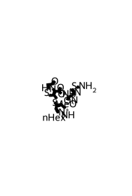 CCCCCCN[n+]1ccc(SCC2=C(C(=O)ONC(=O)/C(=N\OC)c3csc(N)n3)N3C(=O)C[C@@H]3SC2)cc1